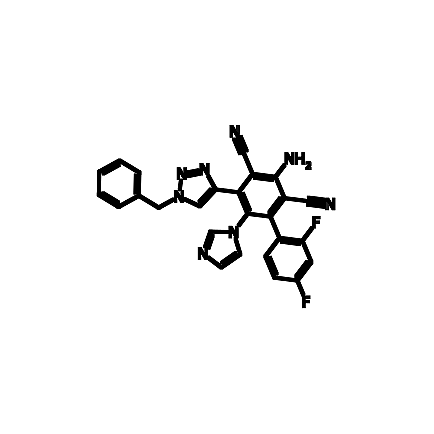 N#Cc1c(N)c(C#N)c(-c2ccc(F)cc2F)c(-n2ccnc2)c1-c1cn(Cc2ccccc2)nn1